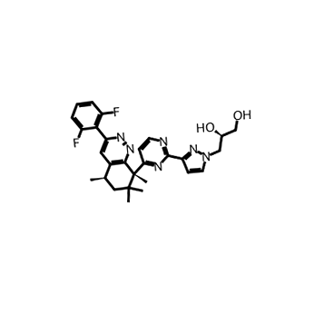 C[C@@H]1CC(C)(C)[C@@](C)(c2ccnc(-c3ccn(C[C@@H](O)CO)n3)n2)c2nnc(-c3c(F)cccc3F)cc21